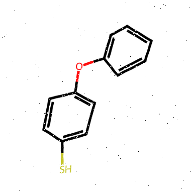 Sc1ccc(Oc2[c]cccc2)cc1